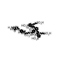 CC1(C)C(/C=C/C2=C(c3ccc(C(=O)NCCCC[C@H](NC(=O)c4ccc(NCc5cnc6nc(N)[nH]c(=O)c6n5)cc4)C(=O)O)cc3)C(=C/C=C3/N(CCCCS(=O)(=O)O)c4ccc(S(=O)(=O)O)cc4C3(C)C)/CCC2)=[N+](CCCCS(=O)(=O)O)c2ccc(S(=O)(=O)O)cc21